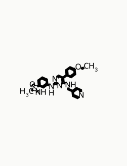 CCOc1ccc(-c2cnc(Nc3cccc(S(C)(=N)=O)c3)nc2NCc2ccncc2)cc1